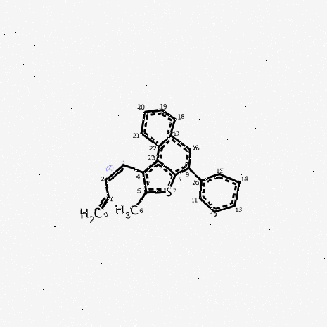 C=C/C=C\c1c(C)sc2c(-c3ccccc3)cc3ccccc3c12